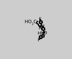 CC(CCCc1nc2cc(C(=O)N[C@@H]3CCc4cc(F)ccc43)ccc2nc1-c1ccc(F)cc1)C(=O)O